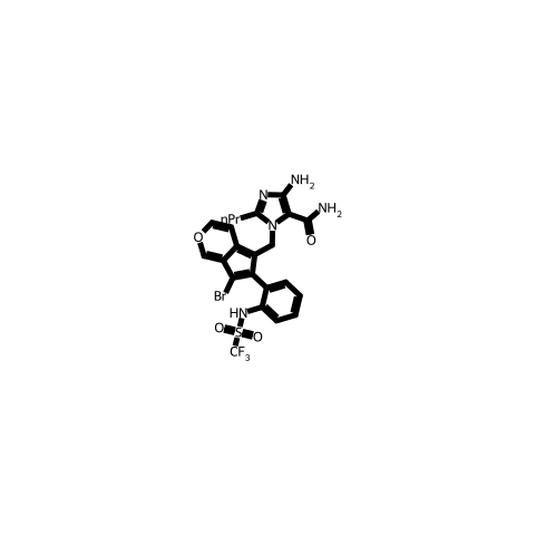 CCCc1nc(N)c(C(N)=O)n1Cc1c2ccocc-2c(Br)c1-c1ccccc1NS(=O)(=O)C(F)(F)F